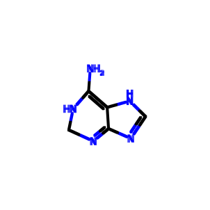 NC1=c2[nH]cnc2=NCN1